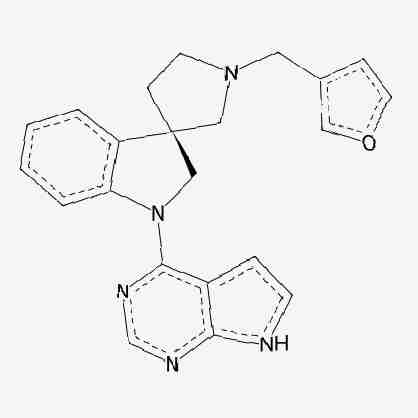 c1ccc2c(c1)N(c1ncnc3[nH]ccc13)C[C@]21CCN(Cc2ccoc2)C1